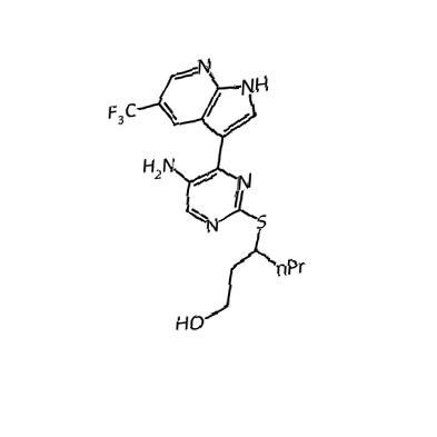 CCCC(CCO)Sc1ncc(N)c(-c2c[nH]c3ncc(C(F)(F)F)cc23)n1